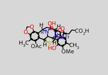 COc1c(C)cc2c(c1O)[C@H]1C3[C@@H]4SC[C@H](NC(=O)CCC(=O)O)C(=O)OC[C@@H](c5c6c(c(C)c(OC(C)=O)c54)OCO6)N3[C@@H](O)[C@H](C2)N1C